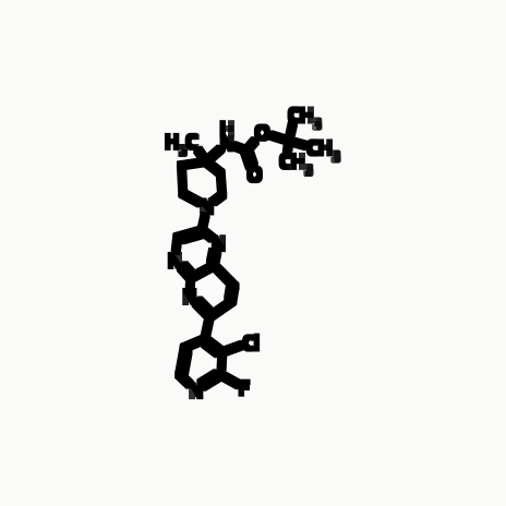 CC1(NC(=O)OC(C)(C)C)CCN(c2cnc3nc(-c4ccnc(F)c4Cl)ccc3n2)CC1